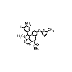 Cc1cccc(Oc2ccc3c(c2)CN(C(=O)OC(C)(C)C)c2ncnc4c2c-3c(-c2ccc(N)c(F)c2)n4C)n1